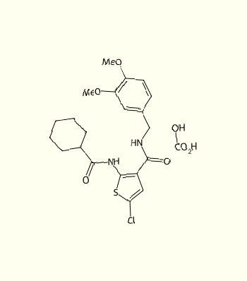 COc1ccc(CNC(=O)c2cc(Cl)sc2NC(=O)C2CCCCC2)cc1OC.O=C(O)O